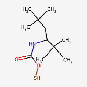 CC(C)(C)CC(NC(=O)OS)C(C)(C)C